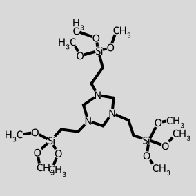 CO[Si](CCN1CN(CC[Si](OC)(OC)OC)CN(CC[Si](OC)(OC)OC)C1)(OC)OC